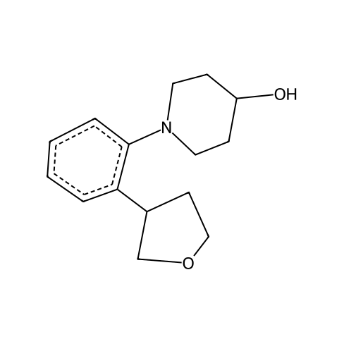 OC1CCN(c2ccccc2C2CCOC2)CC1